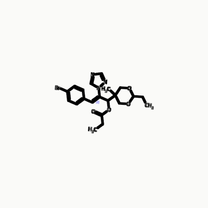 CCC(=O)OC(/C(=C/c1ccc(Br)cc1)n1cncn1)C1(C)COC(CC)OC1